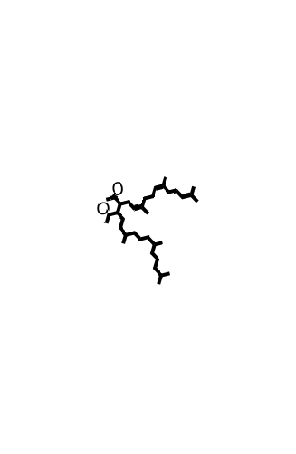 CC(=O)C(CC=C(C)CCC=C(C)CCC=C(C)C)C(CCC(C)CCCC(C)CCCC(C)C)C(C)=O